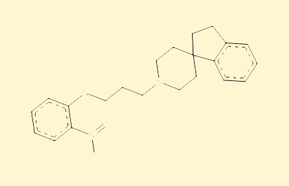 O=[N+]([O-])c1ccccc1NCCCN1CCC2(CCc3ccccc32)CC1